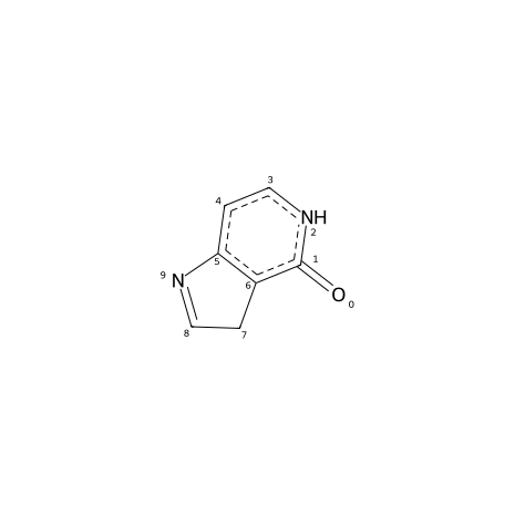 O=c1[nH]ccc2c1CC=N2